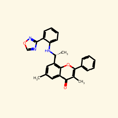 Cc1cc([C@@H](C)Nc2ccccc2-c2ncon2)c2oc(-c3ccccc3)c(C)c(=O)c2c1